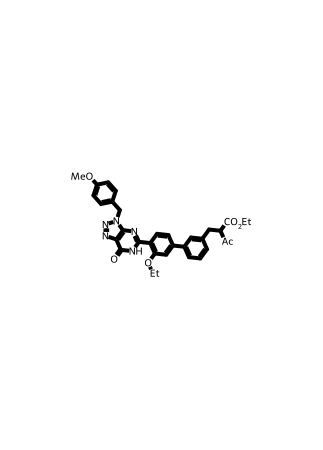 CCOC(=O)C(Cc1cccc(-c2ccc(-c3nc4c(nnn4Cc4ccc(OC)cc4)c(=O)[nH]3)c(OCC)c2)c1)C(C)=O